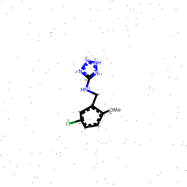 COc1ccc(Cl)cc1CNc1nn[nH]n1